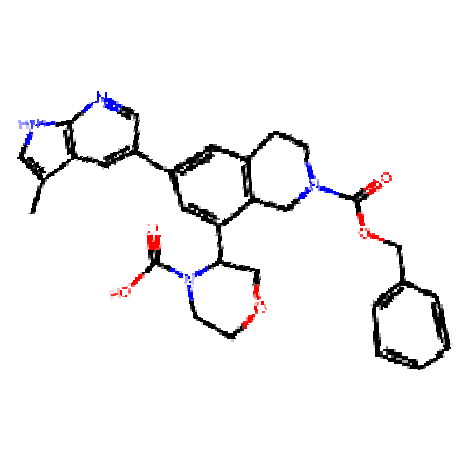 Cc1c[nH]c2ncc(-c3cc4c(c(C5COCCN5C(=O)O)c3)CN(C(=O)OCc3ccccc3)CC4)cc12